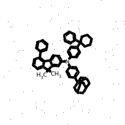 CC1(C)c2cc(N(c3ccc(C45CC6CC(CC(C6)C4)C5)cc3)c3ccc(C4(c5ccccc5)CCCCC4)cc3)ccc2-c2c(-c3ccccc3)cccc21